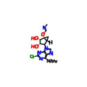 CN=CO[C@]12C[C@@H]1[C@@H](n1cnc3c(NC)nc(Cl)nc31)[C@H](O)[C@@H]2O